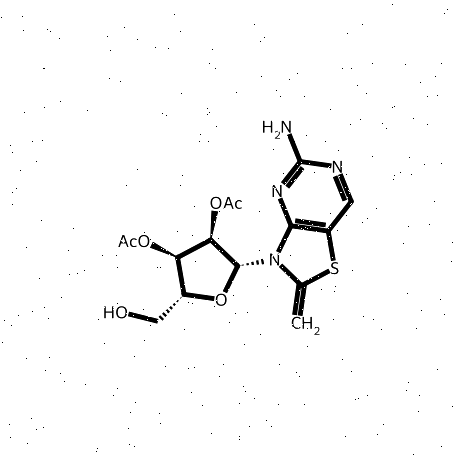 C=C1Sc2cnc(N)nc2N1[C@@H]1O[C@H](CO)[C@@H](OC(C)=O)[C@H]1OC(C)=O